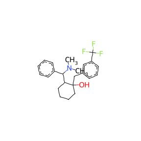 CN(C)C(c1ccccc1)C1CCCCC1(O)Cc1cccc(C(F)(F)F)c1